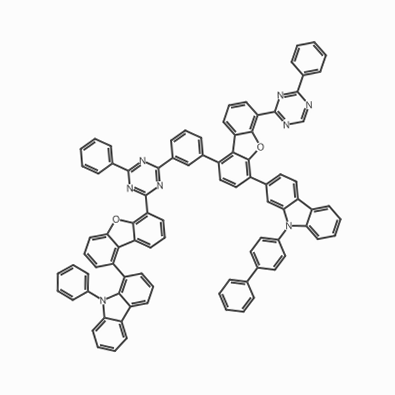 c1ccc(-c2ccc(-n3c4ccccc4c4ccc(-c5ccc(-c6cccc(-c7nc(-c8ccccc8)nc(-c8cccc9c8oc8cccc(-c%10cccc%11c%12ccccc%12n(-c%12ccccc%12)c%10%11)c89)n7)c6)c6c5oc5c(-c7ncnc(-c8ccccc8)n7)cccc56)cc43)cc2)cc1